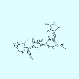 COc1ccc(-c2cc(C(=O)N3CCOCC3)on2)cc1OC1CCCC1